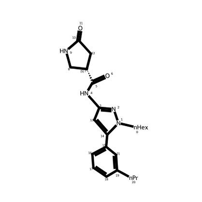 CCCCCCn1nc(NC(=O)[C@@H]2CNC(=O)C2)cc1-c1cccc(CCC)c1